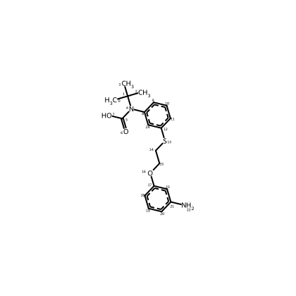 CC(C)(C)N(C(=O)O)c1cccc(SCCOc2cccc(N)c2)c1